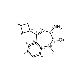 CN1C(=O)C(N)N=C(C2CCC2)c2ccccc21